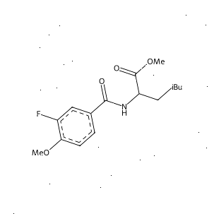 CCC(C)CC(NC(=O)c1ccc(OC)c(F)c1)C(=O)OC